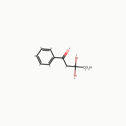 O=C(CC(Br)(Br)C(=O)O)c1ccccc1